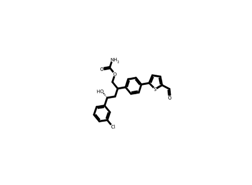 NC(=O)OCC(C[C@@H](O)c1cccc(Cl)c1)c1ccc(-c2ccc(C=O)s2)cc1